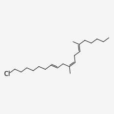 CCCCCC(C)=CCC=C(C)CC=CCCCCCCCl